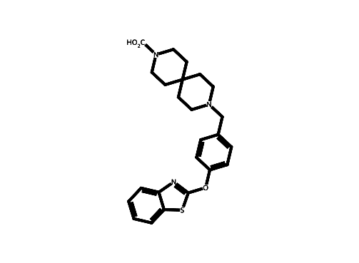 O=C(O)N1CCC2(CCN(Cc3ccc(Oc4nc5ccccc5s4)cc3)CC2)CC1